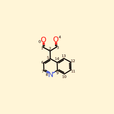 O=CC(C=O)c1ccnc2ccccc12